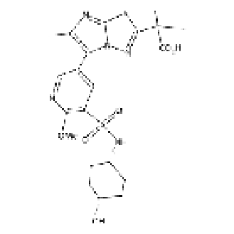 COc1ncc(-c2c(C)nc3sc(C(C)(C)C(=O)O)nn23)cc1S(=O)(=O)N[C@H]1CC[C@@H](O)CC1